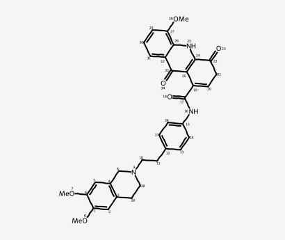 COc1cc2c(cc1OC)CN(CCc1ccc(NC(=O)C3=CCC(=O)c4[nH]c5c(OC)cccc5c(=O)c43)cc1)CC2